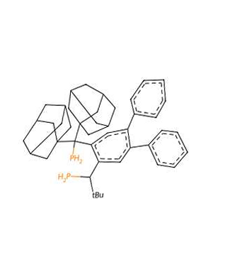 CC(C)(C)C(P)c1cc(-c2ccccc2)c(-c2ccccc2)cc1C(P)(C12CC3CC(CC(C3)C1)C2)C12CC3CC(CC(C3)C1)C2